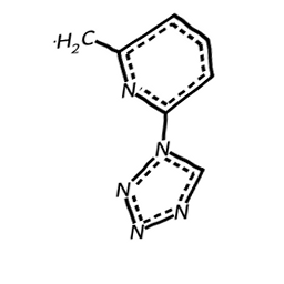 [CH2]c1cccc(-n2cnnn2)n1